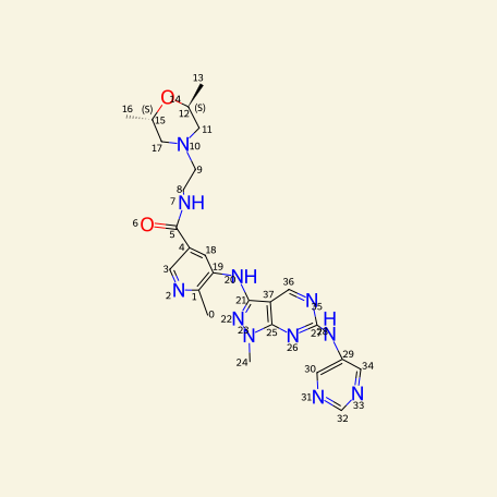 Cc1ncc(C(=O)NCCN2C[C@H](C)O[C@@H](C)C2)cc1Nc1nn(C)c2nc(Nc3cncnc3)ncc12